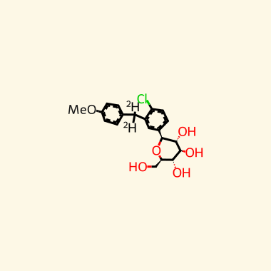 [2H]C([2H])(c1ccc(OC)cc1)c1cc([C@@H]2O[C@H](CO)[C@@H](O)[C@H](O)[C@H]2O)ccc1Cl